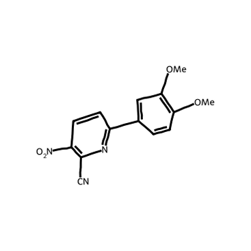 COc1ccc(-c2ccc([N+](=O)[O-])c(C#N)n2)cc1OC